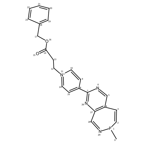 CP1C=Cc2cnc(-c3cc[n+](CCC(=O)OCc4ccccc4)cc3)nc2C=N1